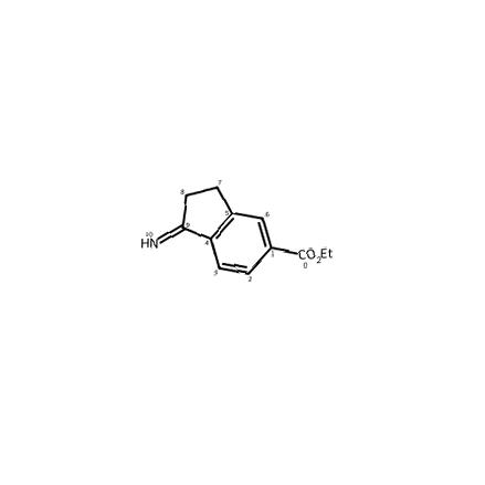 CCOC(=O)c1ccc2c(c1)CCC2=N